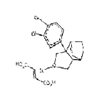 CCN1CC2C3CCC(CC3)C2(c2ccc(Cl)c(Cl)c2)C1.O=C(O)C=CC(=O)O